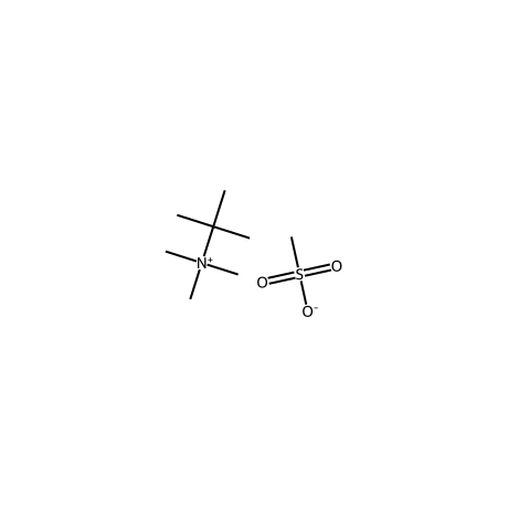 CC(C)(C)[N+](C)(C)C.CS(=O)(=O)[O-]